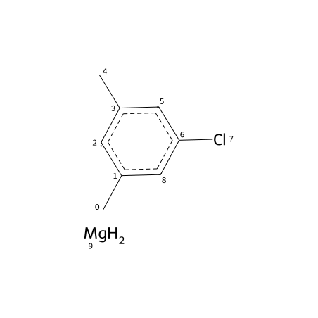 Cc1[c]c(C)cc(Cl)c1.[MgH2]